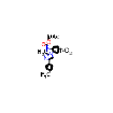 CC(=O)OCOC(=O)N(C)c1ccc([N+](=O)[O-])cc1-n1cnc(-c2ccc(C(F)(F)F)cc2)c1